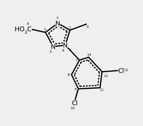 Cc1nc(C(=O)O)nn1-c1cc(Cl)cc(Cl)c1